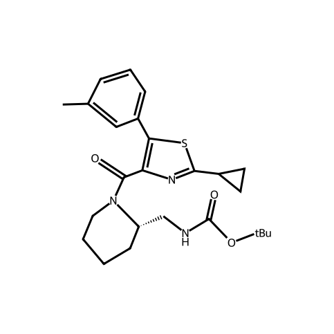 Cc1cccc(-c2sc(C3CC3)nc2C(=O)N2CCCC[C@H]2CNC(=O)OC(C)(C)C)c1